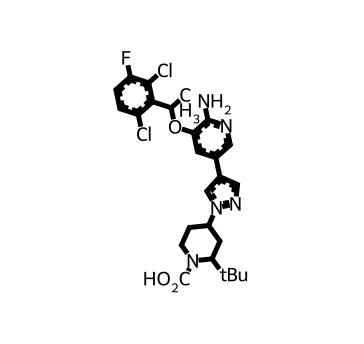 CC(Oc1cc(-c2cnn(C3CCN(C(=O)O)C(C(C)(C)C)C3)c2)cnc1N)c1c(Cl)ccc(F)c1Cl